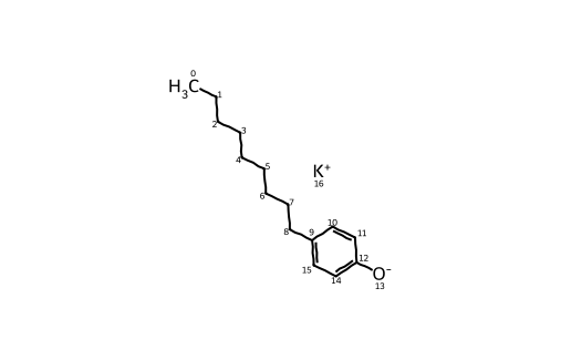 CCCCCCCCCc1ccc([O-])cc1.[K+]